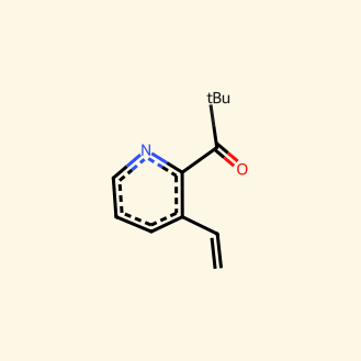 C=Cc1cccnc1C(=O)C(C)(C)C